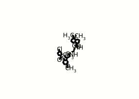 COc1ccc2c(c1)c(CC(=O)NCCCNS(=O)(=O)c1cccc3c(N(C)C)cccc13)c(C)n2C(=O)c1ccc(Cl)cc1